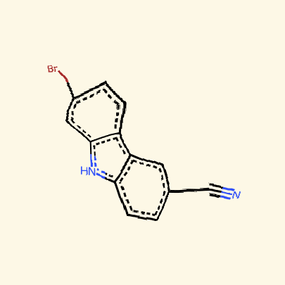 N#Cc1ccc2[nH]c3cc(Br)ccc3c2c1